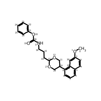 COc1ccc2cccc(C3COC(CCCNC(=O)Oc4ccccc4)OC3)c2c1